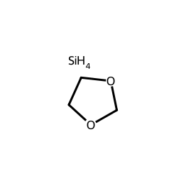 C1COCO1.[SiH4]